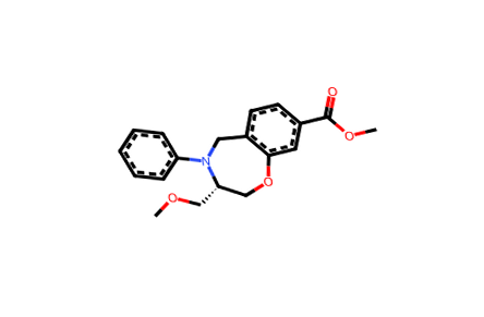 COC[C@H]1COc2cc(C(=O)OC)ccc2CN1c1ccccc1